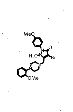 COc1ccc(-n2c(=O)c(Br)c(CN3CCN(c4ccccc4OC)CC3)n2C)cc1